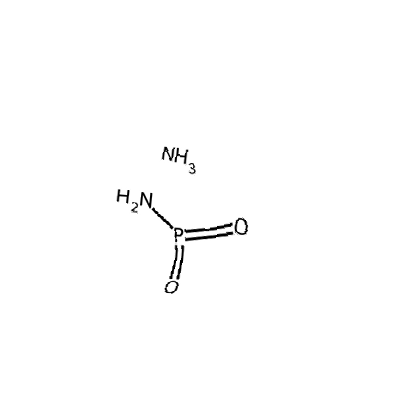 N.NP(=O)=O